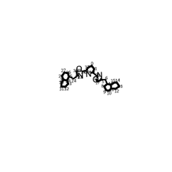 c1cc(-c2nc(Cc3cccc4ccccc34)co2)nc(-c2nc(Cc3cccc4ccccc34)co2)c1